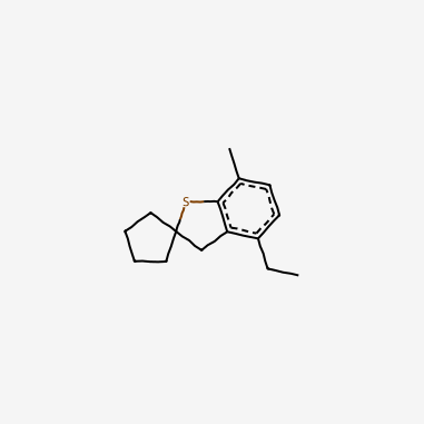 CCc1ccc(C)c2c1CC1(CCCC1)S2